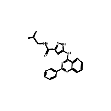 CC(C)CNC(=O)c1cc(Nc2nc(-c3ccccc3)nc3ccccc23)[nH]n1